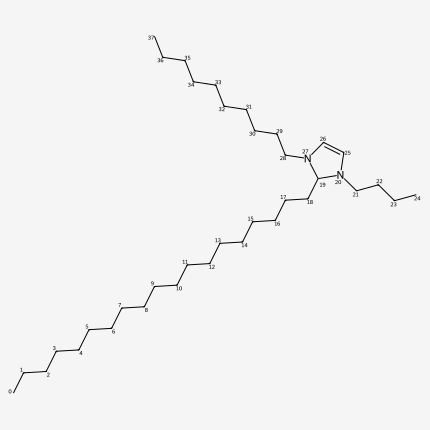 CCCCCCCCCCCCCCCCCCCC1N(CCCC)C=CN1CCCCCCCCCC